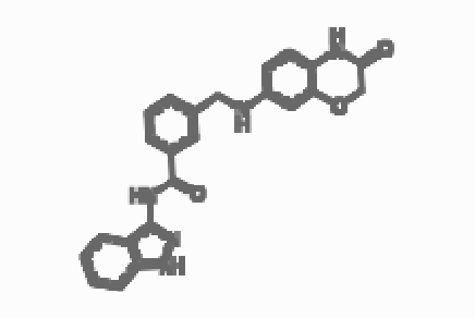 O=C1COc2cc(NCc3cccc(C(=O)Nc4n[nH]c5ccccc45)c3)ccc2N1